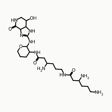 NCCCC(N)CC(=O)NCCCC(N)CC(=O)NC1CCCOC1NC1=NC2C(=O)NCC(O)C2N1